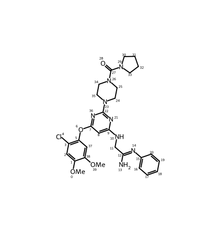 COc1cc(Cl)c(Oc2cc(NC/C(N)=N/c3ccccc3)nc(N3CCN(C(=O)N4CCCC4)CC3)n2)cc1OC